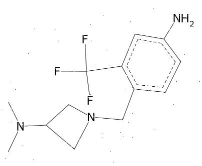 CN(C)C1CN(Cc2ccc(N)cc2C(F)(F)F)C1